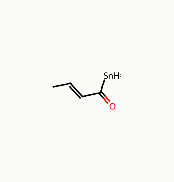 CC=C[C](=O)[SnH]